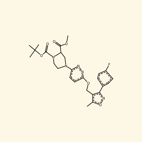 COC(=O)C1CN(c2ccc(OCc3c(-c4ccc(F)cc4)noc3C)nn2)CCN1C(=O)OC(C)(C)C